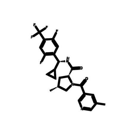 Cc1cncc(C(=O)N2C[C@H](C)C[C@@H]2C(=O)N[C@@H](c2cc(F)c(C(F)(F)F)cc2F)C2CC2)c1